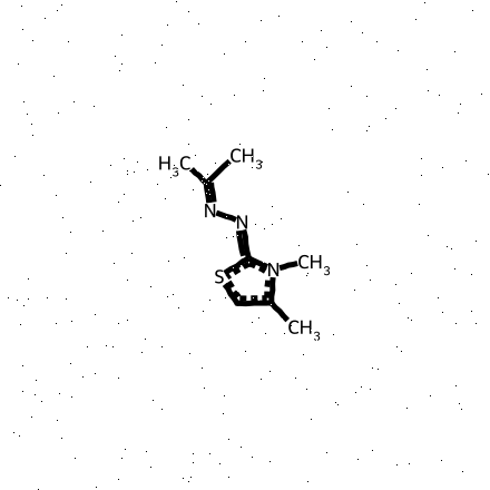 CC(C)=N/N=c1\scc(C)n1C